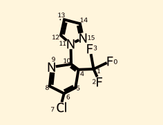 FC(F)(F)c1cc(Cl)cnc1-n1c[c]cn1